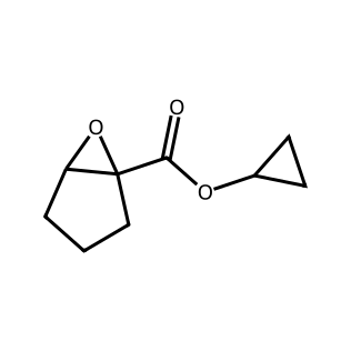 O=C(OC1CC1)C12CCCC1O2